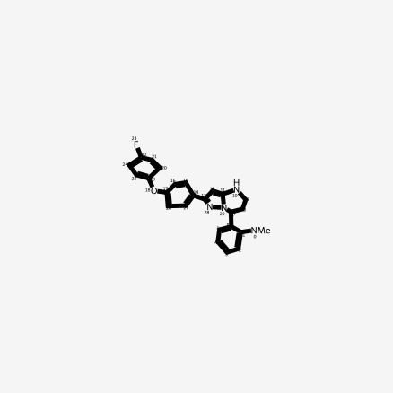 CNc1ccccc1C1CCNc2cc(-c3ccc(Oc4ccc(F)cc4)cc3)nn21